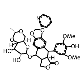 COc1cc([C@@H]2c3cc4c(cc3C(O[C@@H]3O[C@@H]5CO[C@@H](C)O[C@H]5[C@H](O)[C@H]3O)C3COC(=O)[C@@H]32)OCO4)cc(OC)c1O.c1ccncc1